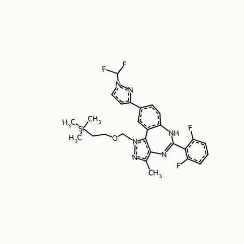 Cc1nn(COCC[Si](C)(C)C)c2c1N=C(c1c(F)cccc1F)Nc1ccc(-c3ccn(C(F)F)n3)cc1-2